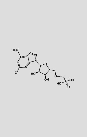 Nc1cc(Cl)nc2c1cnn2[C@@H]1O[C@H](COCP(=O)(O)O)[C@@H](O)[C@H]1O